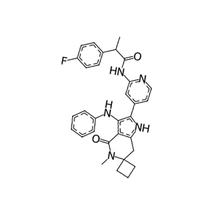 CC(C(=O)Nc1cc(-c2[nH]c3c(c2Nc2ccccc2)C(=O)N(C)C2(CCC2)C3)ccn1)c1ccc(F)cc1